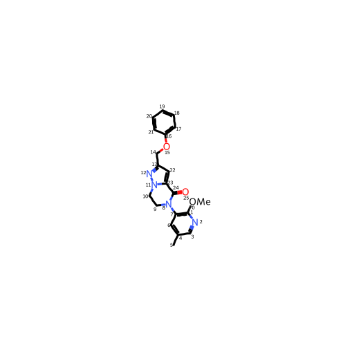 COc1ncc(C)cc1N1CCn2nc(COc3ccccc3)cc2C1=O